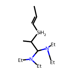 CC=C[SiH2]C(C)C(N(CC)CC)N(CC)CC